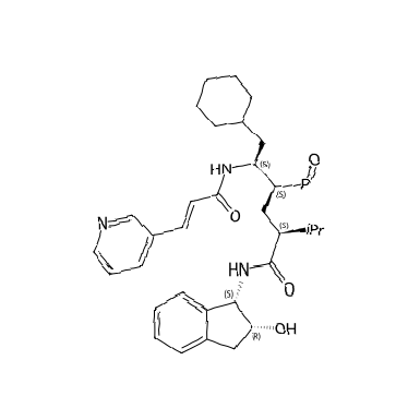 CC(C)[C@H](C[C@H](P=O)[C@H](CC1CCCCC1)NC(=O)C=Cc1cccnc1)C(=O)N[C@H]1c2ccccc2C[C@H]1O